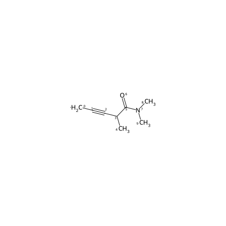 [CH2]C#CC(C)C(=O)N(C)C